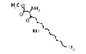 CCCCCCCCCCCC(=O)C(N)C(=O)OC.[KH]